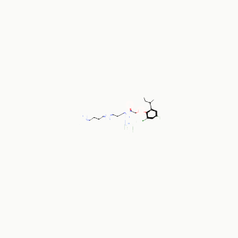 CCC(C)c1cc(Cl)cc(Cl)c1OCC(=O)NCCCNCCCCN.Cl.Cl